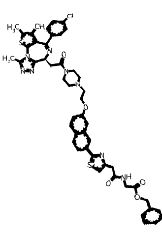 Cc1sc2c(c1C)C(c1ccc(Cl)cc1)=N[C@@H](CC(=O)N1CCN(CCOc3ccc4ccc(-c5nc(CC(=O)NCC(=O)OCc6ccccc6)cs5)cc4c3)CC1)c1nnc(C)n1-2